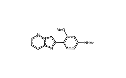 COc1cc(NC(C)=O)ccc1-c1cn2ncccc2n1